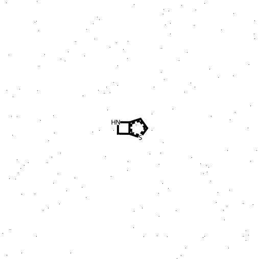 c1cc2c(s1)CN2